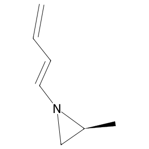 C=CC=CN1C[C@@H]1C